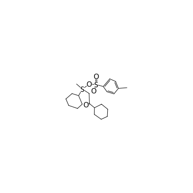 Cc1ccc(S(=O)(=O)OS(C)(CC(=O)C2CCCCC2)C2CCCCC2)cc1